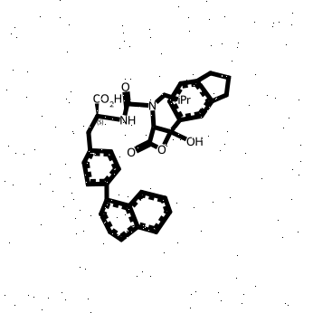 CC(C)CN(C(=O)N[C@@H](Cc1ccc(-c2cccc3ccccc23)cc1)C(=O)O)C1C(=O)OC1(O)c1ccc2c(c1)CCC2